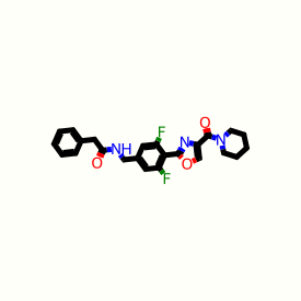 O=C(Cc1ccccc1)NCc1cc(F)c(-c2nc(C(=O)N3CCCCC3)co2)c(F)c1